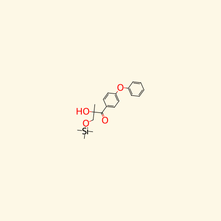 CC(O)(CO[Si](C)(C)C)C(=O)c1ccc(Oc2ccccc2)cc1